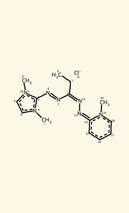 CCC(N=Nc1n(C)cc[n+]1C)=NN=c1ccccn1C.[Cl-]